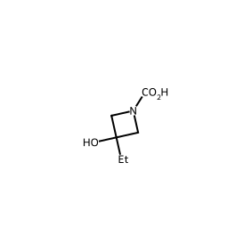 CCC1(O)CN(C(=O)O)C1